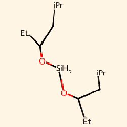 CCC(CC(C)C)O[SiH2]OC(CC)CC(C)C